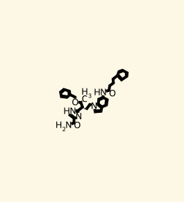 C[C@H](OCc1ccccc1)[C@H](CCn1ccc2ccc(NC(=O)CCCc3ccccc3)cc21)c1nc(C(N)=O)c[nH]1